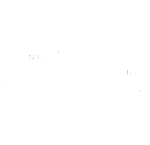 NC([C]=O)S(=O)(=O)c1ccc([N+](=O)[O-])cc1